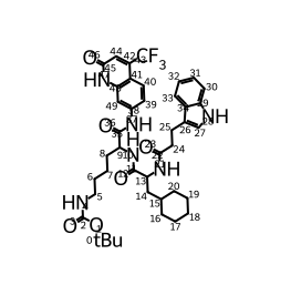 CC(C)(C)OC(=O)NCCCCC(NC(=O)C(CC1CCCCC1)NC(=O)CCc1c[nH]c2ccccc12)C(=O)Nc1ccc2c(C(F)(F)F)cc(=O)[nH]c2c1